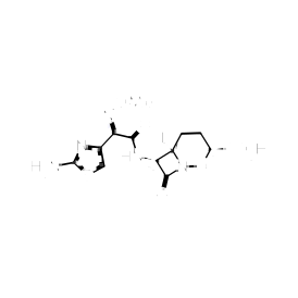 CO/N=C(\C(=O)N[C@@H]1C(=O)N2O[C@H](C(=O)O)CC[C@H]12)c1csc(N)n1